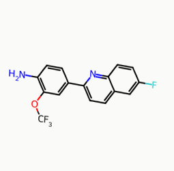 Nc1ccc(-c2ccc3cc(F)ccc3n2)cc1OC(F)(F)F